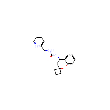 O=C(NCc1ccccn1)NC1CC2(CCC2)Oc2ccccc21